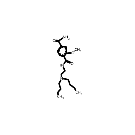 CCCCN(CCCC)CCNC(=O)c1ccc(C(N)=O)cc1OC